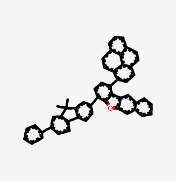 CC1(C)c2cc(-c3ccccc3)ccc2-c2ccc(-c3ccc(-c4ccc5ccc6cccc7ccc4c5c67)c4c3oc3cc5ccccc5cc34)cc21